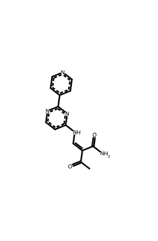 CC(=O)C(=CNc1ccnc(-c2ccncc2)n1)C(N)=O